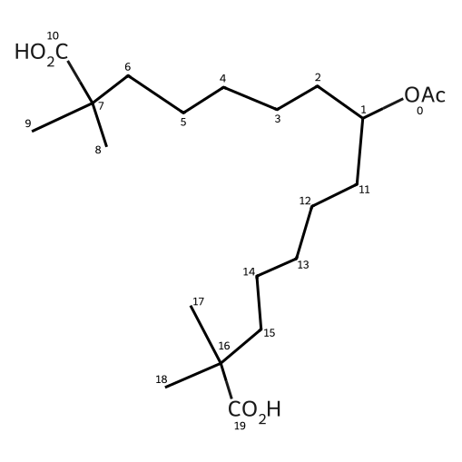 CC(=O)OC(CCCCCC(C)(C)C(=O)O)CCCCCC(C)(C)C(=O)O